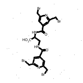 O=C(NCC(NC(=O)c1cc(CBr)nc(CBr)c1)C(=O)O)c1cc(CBr)nc(CBr)c1